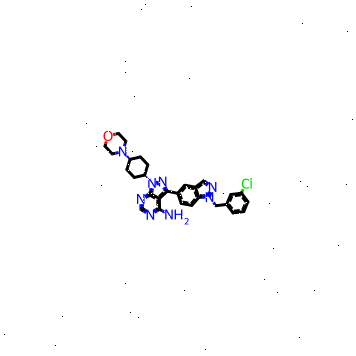 Nc1ncnc2c1c(-c1ccc3c(cnn3Cc3cccc(Cl)c3)c1)nn2[C@H]1CC[C@H](N2CCOCC2)CC1